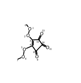 COOc1c(OOC)c(=O)c(=O)c1=O